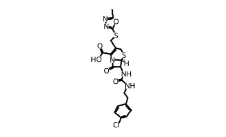 Cc1nnc(SCC2=C(C(=O)O)N3C(=O)C(NC(=O)NCCc4ccc(Cl)cc4)[C@@H]3SC2)o1